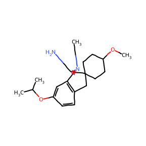 COC1CCC2(CC1)Cc1ccc(OC(C)C)cc1C21N=C(N)N(C)O1